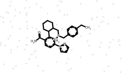 CCc1ccc(CN(C)CC2CCCCC2c2nc(-n3cccn3)ccc2C(N)=O)cc1